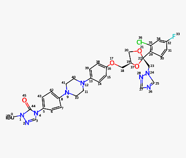 CCC(C)n1ncn(-c2ccc(N3CCN(c4ccc(OC[C@H]5CO[C@](Cn6cncn6)(c6ccc(F)cc6Cl)O5)cc4)CC3)cc2)c1=O